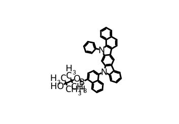 CC(C)(O)C(C)(C)OBc1ccc(-n2c3ccccc3c3cc4c5ccc6ccccc6c5n(-c5ccccc5)c4cc32)c2ccccc12